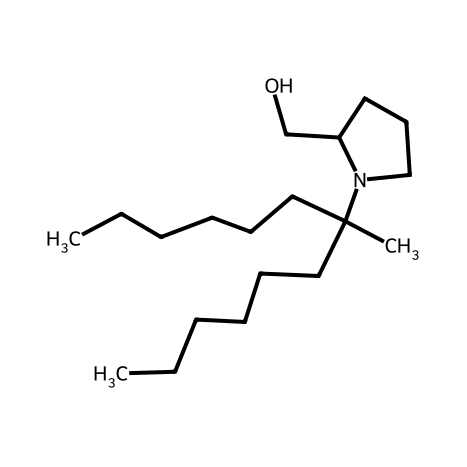 CCCCCCC(C)(CCCCCC)N1CCCC1CO